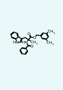 Cc1cc(C)cc(COC(=O)C(C)(Cc2c[nH]c3ccccc23)NC(=O)c2ccccc2)c1